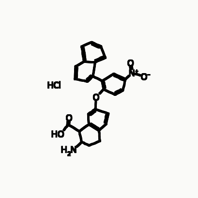 Cl.NC1CCc2ccc(Oc3ccc([N+](=O)[O-])cc3-c3cccc4ccccc34)cc2C1C(=O)O